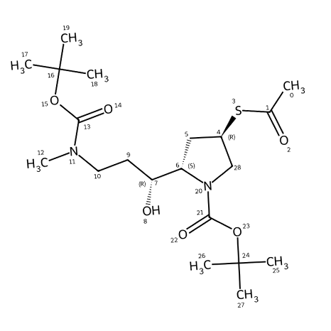 CC(=O)S[C@@H]1C[C@@H]([C@H](O)CCN(C)C(=O)OC(C)(C)C)N(C(=O)OC(C)(C)C)C1